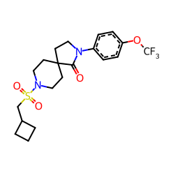 O=C1N(c2ccc(OC(F)(F)F)cc2)CCC12CCN(S(=O)(=O)CC1CCC1)CC2